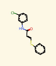 O=C(C=CSc1ccccc1)Nc1cccc(Cl)c1